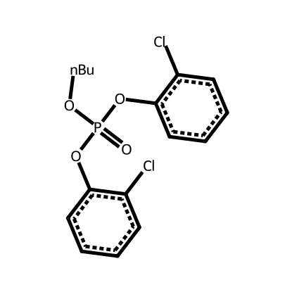 CCCCOP(=O)(Oc1ccccc1Cl)Oc1ccccc1Cl